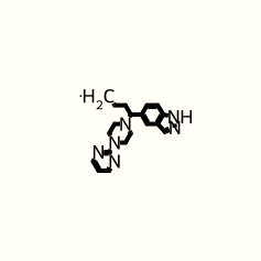 [CH2]CCC(c1ccc2[nH]ncc2c1)N1CCN(c2ncccn2)CC1